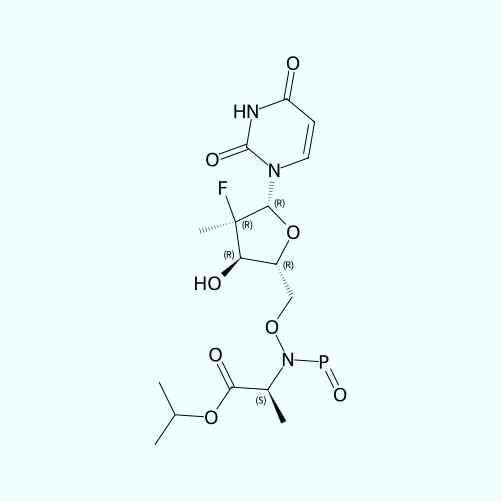 CC(C)OC(=O)[C@H](C)N(OC[C@H]1O[C@@H](n2ccc(=O)[nH]c2=O)[C@](C)(F)[C@@H]1O)P=O